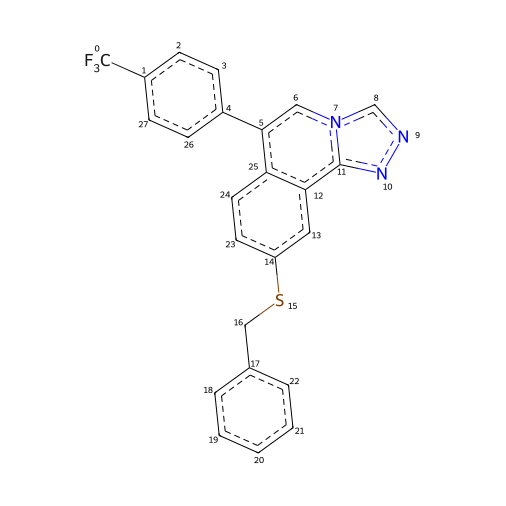 FC(F)(F)c1ccc(-c2cn3cnnc3c3cc(SCc4ccccc4)ccc23)cc1